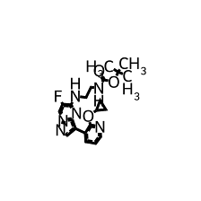 CC(C)(C)OC(=O)NCCNc1nc2c(-c3cccnc3OC3CC3)cnn2cc1F